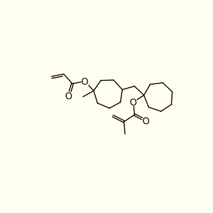 C=CC(=O)OC1(C)CCCC(CC2(OC(=O)C(=C)C)CCCCCC2)CC1